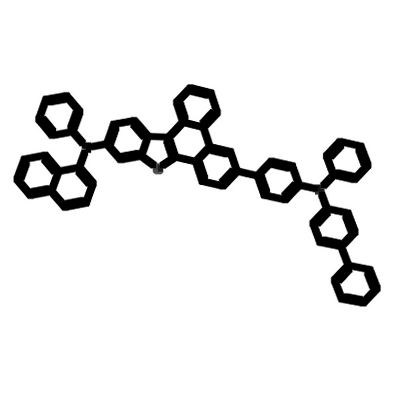 c1ccc(-c2ccc(N(c3ccccc3)c3ccc(-c4ccc5c(c4)c4ccccc4c4c6ccc(N(c7ccccc7)c7cccc8ccccc78)cc6oc54)cc3)cc2)cc1